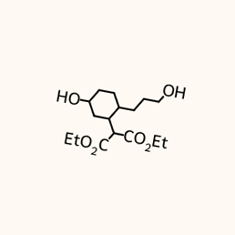 CCOC(=O)C(C(=O)OCC)C1CC(O)CCC1CCCO